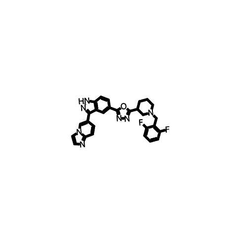 Fc1cccc(F)c1CN1CCCC(c2nnc(-c3ccc4[nH]nc(-c5ccc6nccn6c5)c4c3)o2)C1